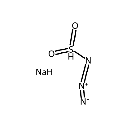 [N-]=[N+]=N[SH](=O)=O.[NaH]